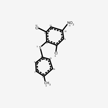 Cc1ccc(Sc2c(Cl)cc([N+](=O)[O-])cc2Cl)cc1